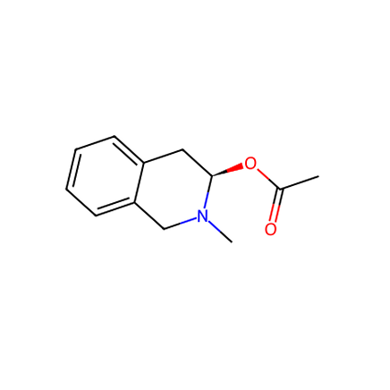 CC(=O)O[C@@H]1Cc2ccccc2CN1C